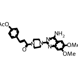 COc1cc2nc(N3CCN(C(=O)C=Cc4ccc(OC(C)=O)cc4)CC3)nc(N)c2cc1OC